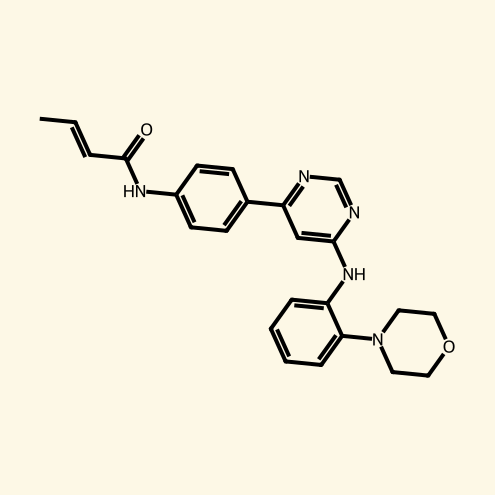 CC=CC(=O)Nc1ccc(-c2cc(Nc3ccccc3N3CCOCC3)ncn2)cc1